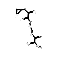 C=C(C)C(=O)OCCOC(=O)C(=C)CC1CO1